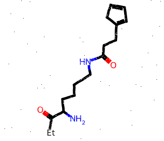 CCC(=O)C(N)CCCCNC(=O)CCC1=CC=CC1